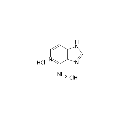 Cl.Cl.Nc1nccc2[nH]cnc12